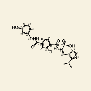 CC(C)c1ncsc1C=C(NC(=O)c1ccc(C(=O)NCc2cccc(O)c2)cc1Cl)C(=O)O